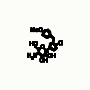 COc1ccc(Cc2cc([C@@H]3O[C@H](CO)[C@@H](N)[C@H](O)[C@H]3O)ccc2Cl)cc1